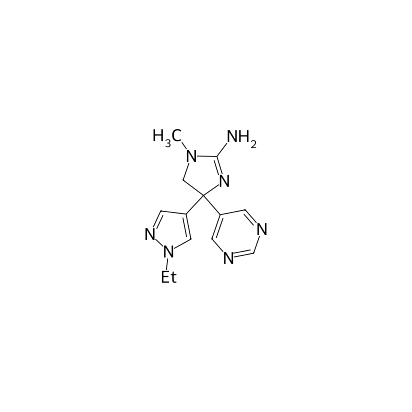 CCn1cc(C2(c3cncnc3)CN(C)C(N)=N2)cn1